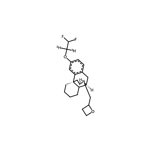 [2H]C([2H])(Oc1ccc2c(c1)[C@]13CCCC[C@@H]1[C@H](C2)N(CC1CCO1)CC3)C(F)F